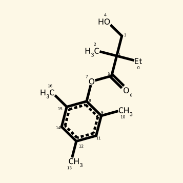 CCC(C)(CO)C(=O)Oc1c(C)cc(C)cc1C